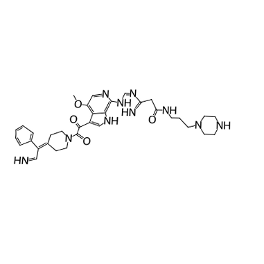 COc1cnc(N/C=N\C(=N)CC(=O)NCCCN2CCNCC2)c2[nH]cc(C(=O)C(=O)N3CCC(=C(C=N)c4ccccc4)CC3)c12